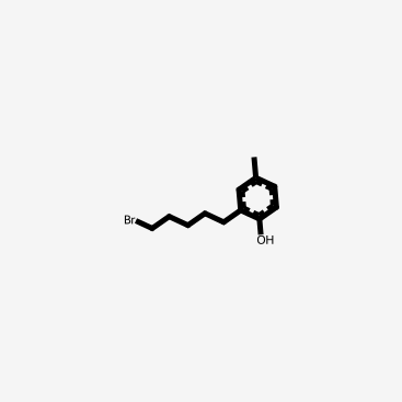 Cc1ccc(O)c(CCCCCBr)c1